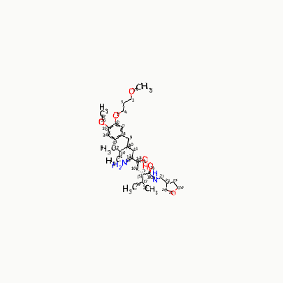 COCCCOc1cc(C[C@@H](C[C@H](N)[C@@H](O)C[C@H](C(=O)NCC2CCOC2)C(C)C)C(C)C)ccc1OC